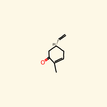 C=C[C@@H]1CC=C(C)C(=O)C1